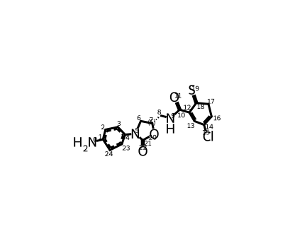 Nc1ccc(N2C[C@H](CNC(=O)C3=CC(Cl)=CCC3=S)OC2=O)cc1